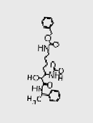 C[C@@H](NC(=O)C(O)C(CCCCNC(=O)OCc1ccccc1)NC(=O)O)c1ccccc1